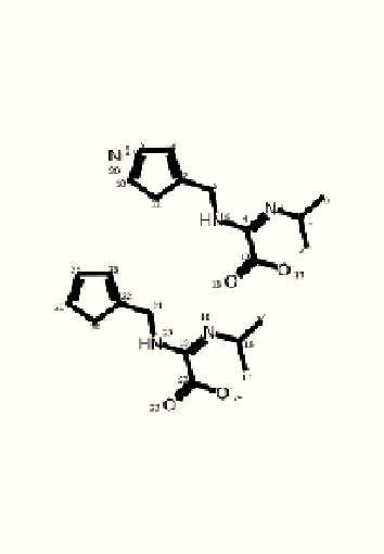 CC(C)N=C(NCC1=CC=CC1)C(=O)[O-].CC(C)N=C(NCC1=CC=CC1)C(=O)[O-].[Ni+2]